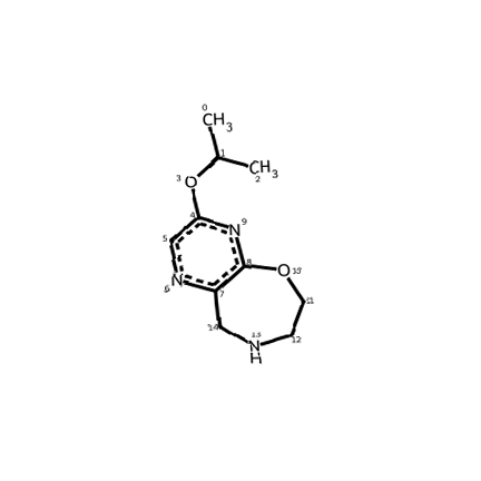 CC(C)Oc1cnc2c(n1)OCCNC2